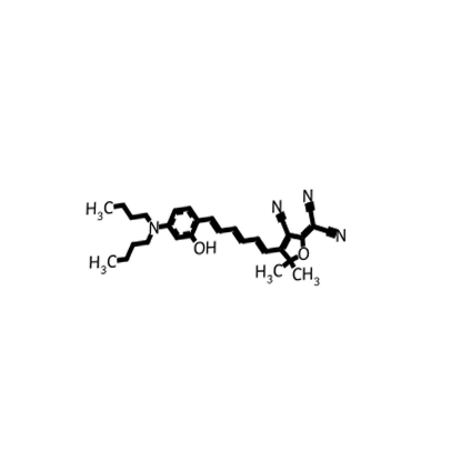 CCCCN(CCCC)c1ccc(/C=C/C=C/C=C/C2=C(C#N)C(=C(C#N)C#N)OC2(C)C)c(O)c1